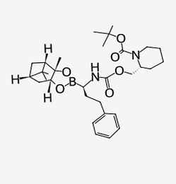 CC(C)(C)OC(=O)N1CCCC[C@@H]1COC(=O)N[C@@H](CCc1ccccc1)B1O[C@@H]2C[C@@H]3C[C@@H](C3(C)C)[C@]2(C)O1